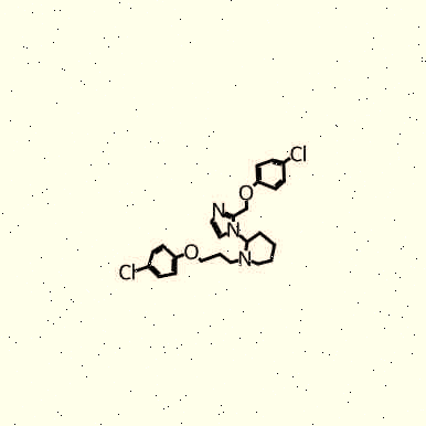 Clc1ccc(OCCCN2CCCCC2n2ccnc2COc2ccc(Cl)cc2)cc1